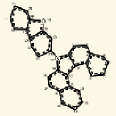 c1ccc2c(c1)ccc1c2c2c3ccccc3ccc2n1-c1ccc2c(c1)oc1ccccc12